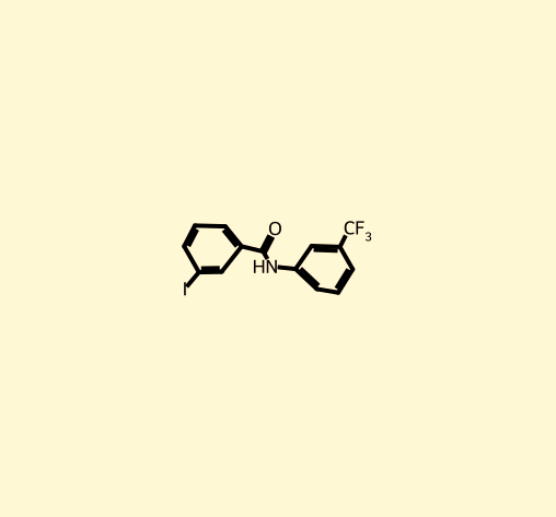 O=C(Nc1cccc(C(F)(F)F)c1)c1cccc(I)c1